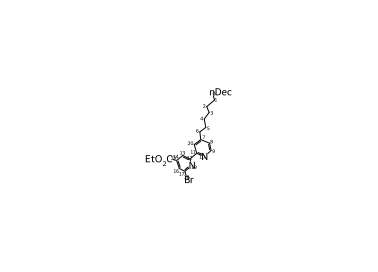 CCCCCCCCCCCCCCCCc1ccnc(-c2cc(C(=O)OCC)cc(Br)n2)c1